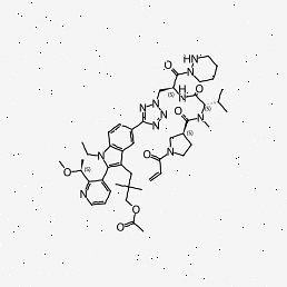 C=CC(=O)N1CC[C@H](C(=O)N(C)[C@H](C(=O)N[C@@H](Cn2nnc(-c3ccc4c(c3)c(CC(C)(C)COC(C)=O)c(-c3cccnc3[C@H](C)OC)n4CC)n2)C(=O)N2CCCCN2)C(C)C)C1